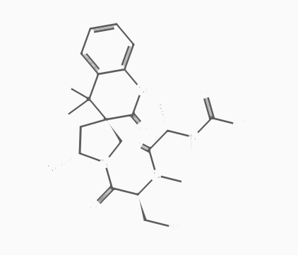 CC(C)C[C@@H](C(=O)N1C[C@]2(C[C@H]1C#N)C(=O)Nc1ccccc1C2(C)O)N(C)C(=O)[C@H](C)NC(=O)C(F)(F)F